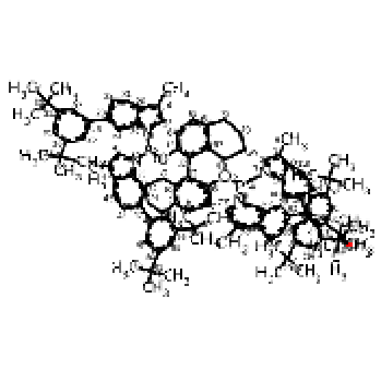 Cc1cn(P(Oc2ccc3c(c2-c2c(OP(n4cc(C)c5ccc(-c6cc(C(C)(C)C)cc(C(C)(C)C)c6)cc54)n4cc(C)c5ccc(-c6cc(C(C)(C)C)cc(C(C)(C)C)c6)cc54)ccc4c2CCCC4)CCCC3)n2cc(C)c3ccc(-c4cc(C(C)(C)C)cc(C(C)(C)C)c4)cc32)c2cc(-c3cc(C(C)(C)C)cc(C(C)(C)C)c3)ccc12